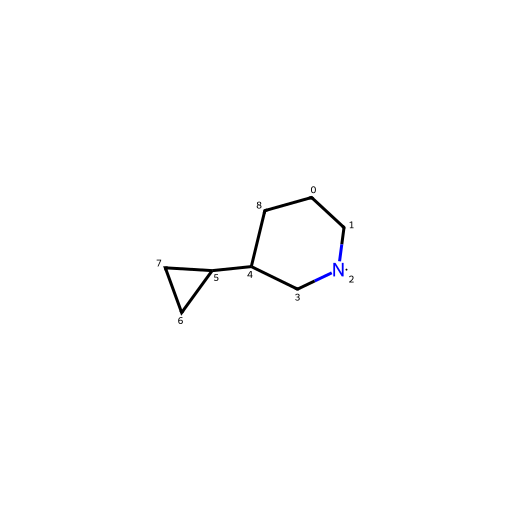 C1C[N]CC(C2CC2)C1